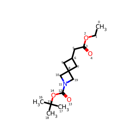 CCOC(=O)CC1CC2(C1)CN(C(=O)OC(C)(C)C)C2